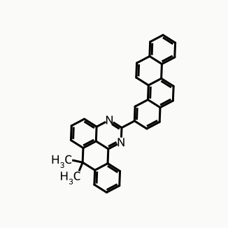 CC1(C)c2ccccc2-c2nc(-c3ccc4ccc5c6ccccc6ccc5c4c3)nc3cccc1c23